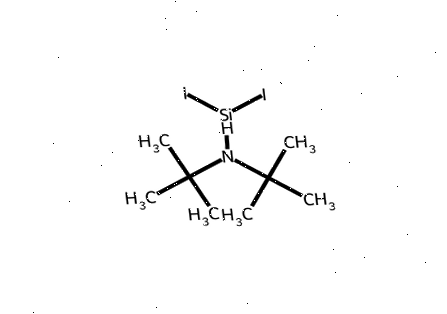 CC(C)(C)N([SiH](I)I)C(C)(C)C